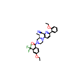 CCOc1ccc(C(=O)N2CCN(c3ccc(-c4ccccc4OCC)nc3C#N)[C@H](CC)C2)c(C(F)(F)F)c1